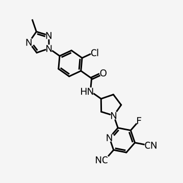 Cc1ncn(-c2ccc(C(=O)NC3CCN(c4nc(C#N)cc(C#N)c4F)C3)c(Cl)c2)n1